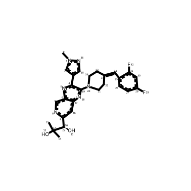 Cn1cc(-c2nc3cnc([C@H](O)C(C)(C)O)cc3nc2N2CCC(=Cc3ccc(F)cc3F)CC2)cn1